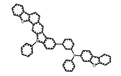 c1ccc(N(c2cccc(-c3ccc4c(c3)c3cc5ccc6c7ccccc7oc6c5cc3n4-c3ccccc3)c2)c2ccc3c(c2)oc2ccccc23)cc1